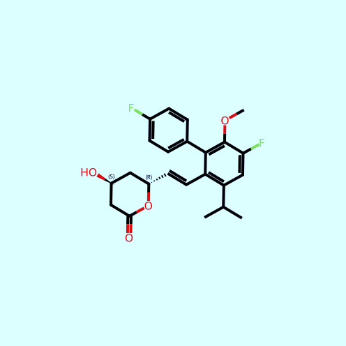 COc1c(F)cc(C(C)C)c(C=C[C@H]2C[C@H](O)CC(=O)O2)c1-c1ccc(F)cc1